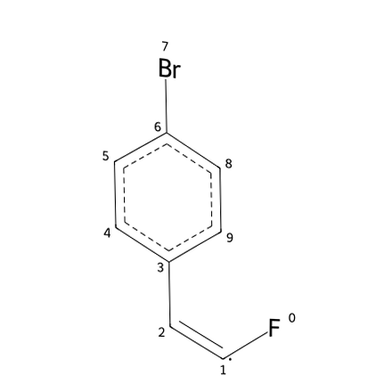 F/[C]=C\c1ccc(Br)cc1